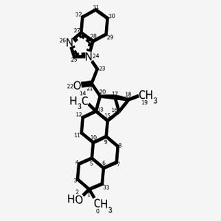 CC1(O)CCC2C(CCC3C2CCC2(C)C3C3C4C3(C)C42C(=O)Cn2cnc3c2CCCC3)C1